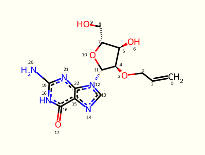 C=CCO[C@@H]1[C@H](O)[C@@H](CO)O[C@H]1n1cnc2c(=O)[nH]c(N)nc21